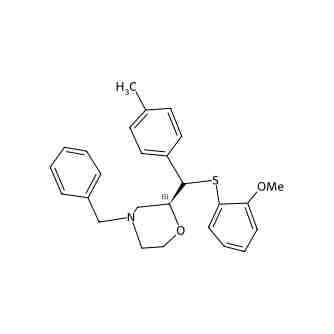 COc1ccccc1SC(c1ccc(C)cc1)[C@@H]1CN(Cc2ccccc2)CCO1